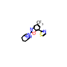 FC(F)(F)c1cc(-c2nccs2)c2oc(N3CC4CCCC(C3)N4)nc2c1